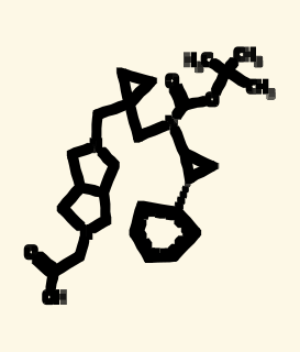 CC(C)(C)OC(=O)N(CC1(CN2CC3CN(CC(=O)O)CC3C2)CC1)C1C[C@@H]1c1ccccc1